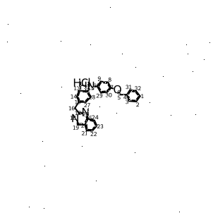 Cl.c1ccc(COc2ccc(Nc3ccc(Cc4ncc5ccccc5n4)cc3)cc2)cc1